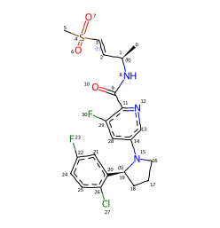 C[C@H](/C=C/S(C)(=O)=O)NC(=O)c1ncc(N2CCC[C@H]2c2cc(F)ccc2Cl)cc1F